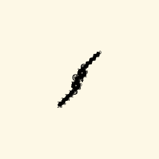 CCCCCCCCOc1ccc(N=[N+]([O-])c2ccc(OCCCCCCCC)cc2)cc1